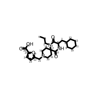 CCCN1C(=O)C(CC2CCCCC2)NC(=O)C12CCN(Cc1ccc(C(=O)O)o1)CC2